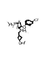 Nc1ncc(Oc2ccc(Cl)cc2)c(NCC2CC(O)C2)n1